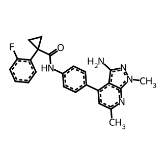 Cc1cc(-c2ccc(NC(=O)C3(c4ccccc4F)CC3)cc2)c2c(N)nn(C)c2n1